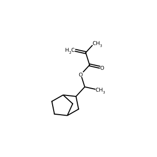 C=C(C)C(=O)OC(C)C1CC2CCC1C2